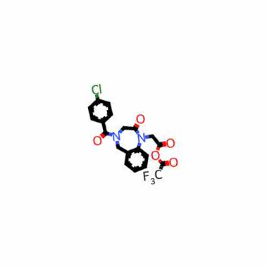 O=C(CN1C(=O)CN(C(=O)c2ccc(Cl)cc2)Cc2ccccc21)OC(=O)C(F)(F)F